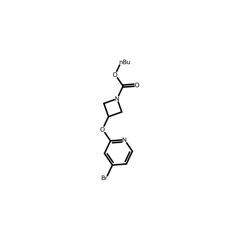 CCCCOC(=O)N1CC(Oc2cc(Br)ccn2)C1